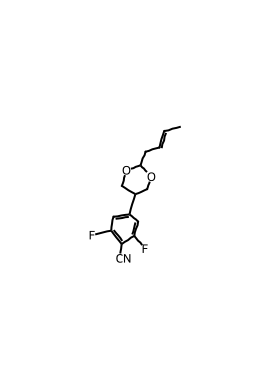 CC=CCC1OCC(c2cc(F)c(C#N)c(F)c2)CO1